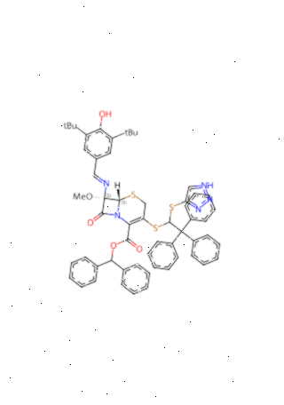 CO[C@@]1(N=Cc2cc(C(C)(C)C)c(O)c(C(C)(C)C)c2)C(=O)N2C(C(=O)OC(c3ccccc3)c3ccccc3)=C(SC(Sc3c[nH]nn3)C(c3ccccc3)(c3ccccc3)c3ccccc3)CS[C@H]21